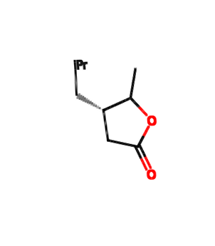 CC(C)C[C@H]1CC(=O)OC1C